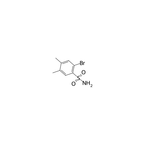 Cc1cc(Br)c(S(N)(=O)=O)cc1C